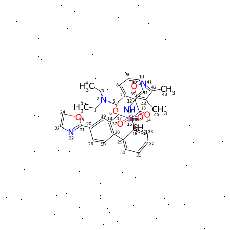 CCN(CC)C(=O)c1ccccc1C(=O)N(C)Cc1cc(-c2ncco2)ccc1-c1ccccc1S(=O)(=O)Nc1onc(C)c1C